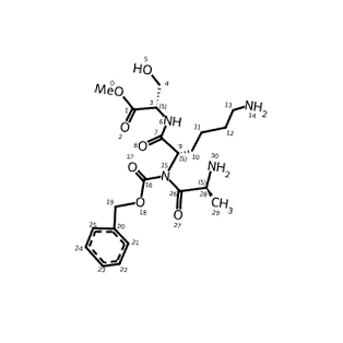 COC(=O)[C@H](CO)NC(=O)[C@H](CCCCN)N(C(=O)OCc1ccccc1)C(=O)[C@H](C)N